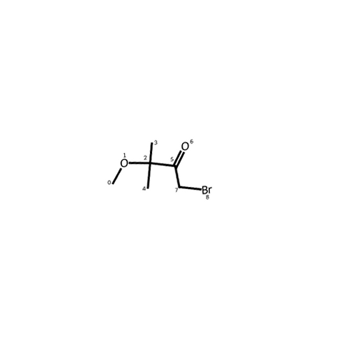 COC(C)(C)C(=O)CBr